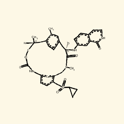 Cc1cc2ccc1[C@@H](C)COC(=O)Nc1ccc(S(=O)(=O)C3CC3)c(c1)CN(C)C(=O)[C@@H]2Nc1ccc2cc[nH]c(=O)c2c1